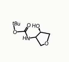 CC(C)(C)OC(=O)NC1COC[C@@H]1O